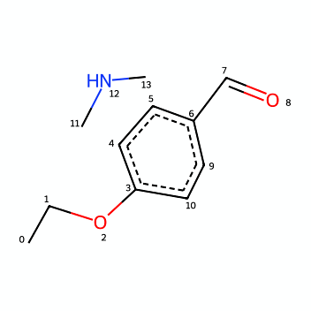 CCOc1ccc(C=O)cc1.CNC